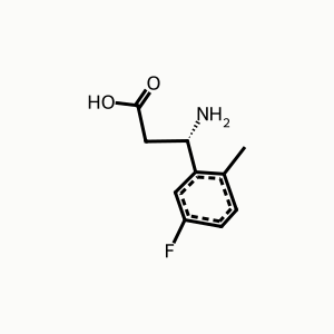 Cc1ccc(F)cc1[C@@H](N)CC(=O)O